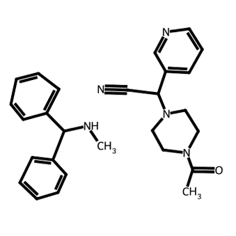 CC(=O)N1CCN(C(C#N)c2cccnc2)CC1.CNC(c1ccccc1)c1ccccc1